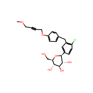 COCC#CCOc1ccc(Cc2cc([C@@H]3O[C@H](CO)[C@@H](O)[C@H](O)[C@H]3O)ccc2Cl)cc1